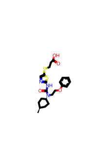 C[C@H]1CC[C@H](N(CCOc2ccccc2)C(=O)Nc2ncc(SCCC(=O)O)s2)CC1